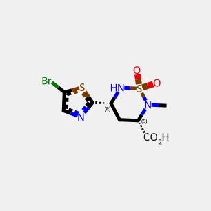 CN1[C@H](C(=O)O)C[C@H](c2ncc(Br)s2)NS1(=O)=O